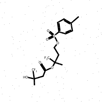 Cc1ccc(S(=O)(=O)OCCC(C)(OC(=O)CC(C)(O)C(F)(F)F)C(F)(F)F)cc1